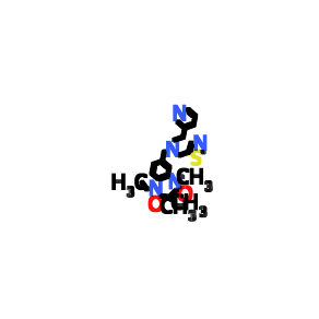 CCN1C(=O)C(C)(C)C(=O)N(C)c2cc(CN(CCc3cccnc3)Cc3cncs3)ccc21